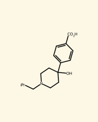 CC(C)CN1CCC(O)(c2ccc(C(=O)O)cc2)CC1